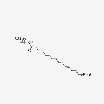 CCCCCC=CCC=CCC=CCC=CCCCC(=O)NC(C)(C)C(=O)O